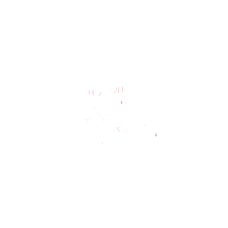 C=C(C)CCc1c(OC)cc(O)c(C(=O)O)c1CC(=O)c1ccc(F)cc1